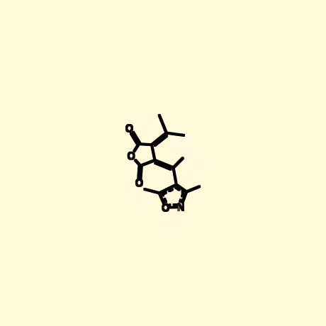 CC(C)=C1C(=O)OC(=O)C1=C(C)c1c(C)noc1C